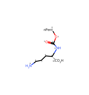 CCCCCOC(=O)N[C@@H](CCCN)C(=O)O